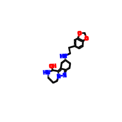 OC1NCCCn2nc3c(c21)CC(NCCc1ccc2c(c1)OCO2)CC3